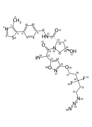 Cc1ncsc1-c1ccc(CNC(=O)[C@@H]2C[C@@H](O)CN2C(=O)C(c2cc(OCCC(F)(F)CCN=[N+]=[N-])no2)C(C)C)cc1